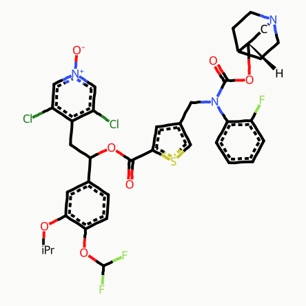 CC(C)Oc1cc(C(Cc2c(Cl)c[n+]([O-])cc2Cl)OC(=O)c2cc(CN(C(=O)O[C@H]3CN4CCC3CC4)c3ccccc3F)cs2)ccc1OC(F)F